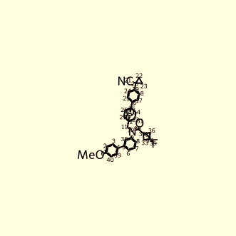 COc1ccc(-c2cccc(N(CC34CCC(c5ccc(C6(C#N)CC6)cc5)(CC3)OC4)C(=O)C34CC(F)(C3)C4)c2)cc1